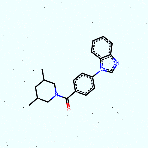 CC1CC(C)CN(C(=O)c2ccc(-n3cnc4ccccc43)cc2)C1